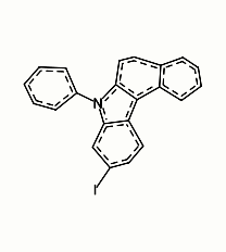 Ic1ccc2c3c4ccccc4ccc3n(-c3ccccc3)c2c1